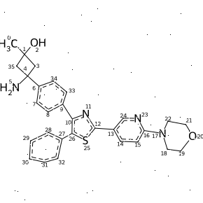 CC1(O)CC(N)(c2ccc(-c3nc(-c4ccc(N5CCOCC5)nc4)sc3-c3ccccc3)cc2)C1